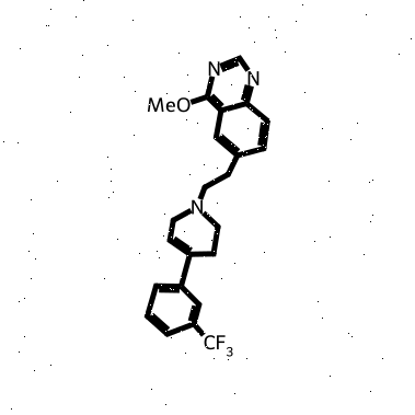 COc1ncnc2ccc(CCN3CC=C(c4cccc(C(F)(F)F)c4)CC3)cc12